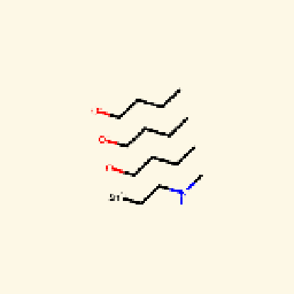 CCCC[O-].CCCC[O-].CCCC[O-].CNC[CH2][Sn+3]